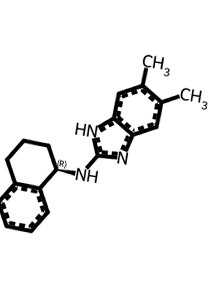 Cc1cc2nc(N[C@@H]3CCCc4ccccc43)[nH]c2cc1C